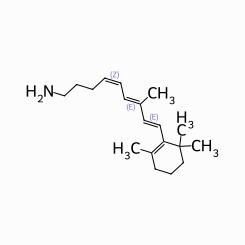 CC1=C(/C=C/C(C)=C/C=C\CCCN)C(C)(C)CCC1